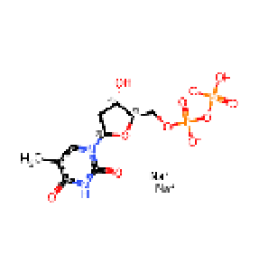 Cc1cn([C@H]2C[C@H](O)[C@@H](COP(=O)([O-])OP(=O)([O-])O)O2)c(=O)[nH]c1=O.[Na+].[Na+]